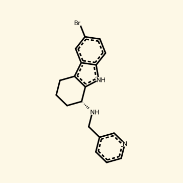 Brc1ccc2[nH]c3c(c2c1)CCC[C@H]3NCc1cccnc1